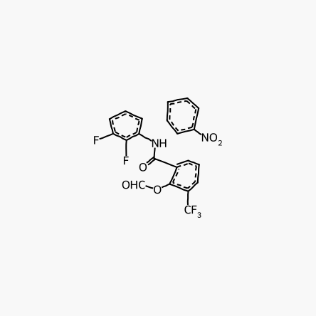 O=COc1c(C(=O)Nc2cccc(F)c2F)cccc1C(F)(F)F.O=[N+]([O-])c1ccccc1